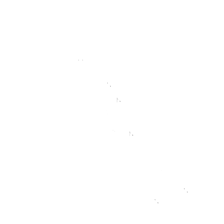 O=C1c2cc(COc3ccccc3)nn2CCN1c1ccc2ncncc2c1